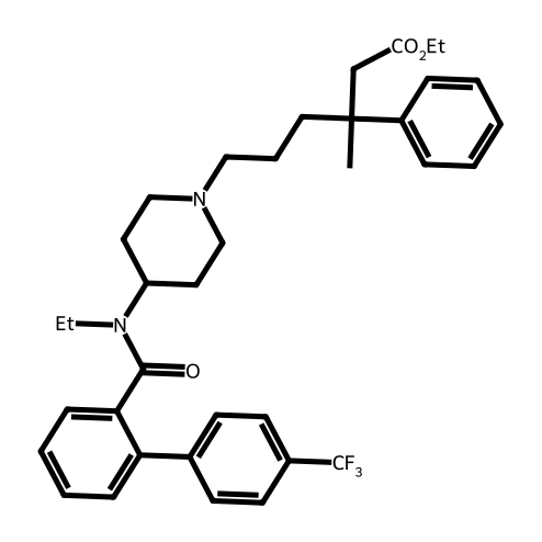 CCOC(=O)CC(C)(CCCN1CCC(N(CC)C(=O)c2ccccc2-c2ccc(C(F)(F)F)cc2)CC1)c1ccccc1